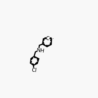 Clc1ccc(CNCc2cc[c]cc2)cc1